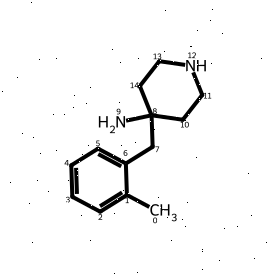 Cc1ccccc1CC1(N)CCNCC1